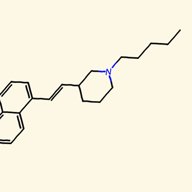 CCCCCN1CCCC(C=Cc2cccc3ccccc23)C1